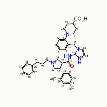 O=C(O)C1CCN(c2ccccc2CN2C=CNC2NC(=O)C2CN(CCCc3ccccc3)C[C@H]2c2ccc(F)cc2F)CC1